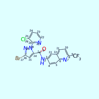 O=C(Nc1ccc2nc(C(F)(F)F)ccc2c1)c1cc(Br)nn1-c1ncccc1Cl